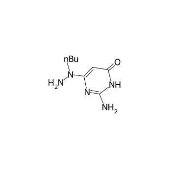 CCCCN(N)c1cc(=O)[nH]c(N)n1